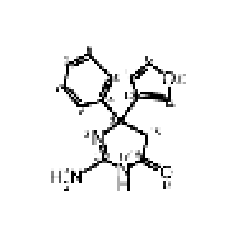 NC1=NC(c2ccccc2)(c2ccoc2)CC(=O)N1